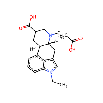 CC(=O)O.CCn1cc2c3c(cccc31)[C@H]1CC(C(=O)O)CN(C)[C@@H]1C2